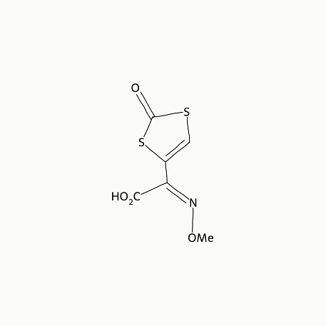 CON=C(C(=O)O)c1csc(=O)s1